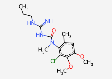 CCCNC(=N)NC(=O)N(C)c1c(C)cc(OC)c(OC)c1Cl